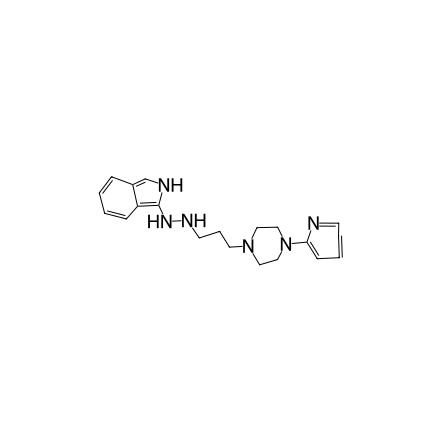 c1ccc(N2CCN(CCCNNc3[nH]cc4ccccc34)CC2)nc1